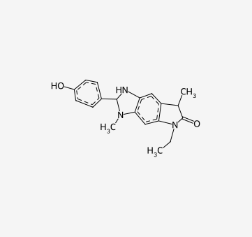 CCN1C(=O)C(C)c2cc3c(cc21)N(C)C(c1ccc(O)cc1)N3